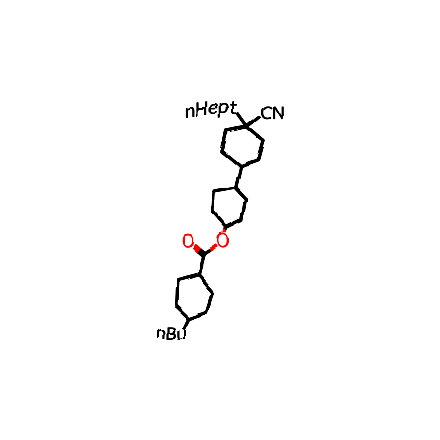 CCCCCCCC1(C#N)CCC(C2CCC(OC(=O)C3CCC(CCCC)CC3)CC2)CC1